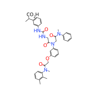 Cc1cccc(N(C)C(=O)COc2cccc(N(CC(=O)N(C)c3ccccc3)C(=O)CNC(=O)Nc3cccc(C(C)C(=O)O)c3)c2)c1C